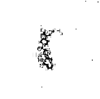 COCC(C1CCN(C(=O)c2cnn(-c3nn4cccc4c(=O)[nH]3)c2C)CC1)C(F)(F)F